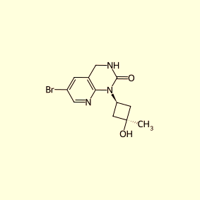 C[C@]1(O)C[C@@H](N2C(=O)NCc3cc(Br)cnc32)C1